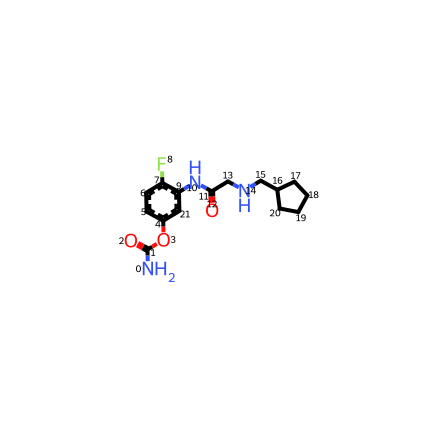 NC(=O)Oc1ccc(F)c(NC(=O)CNCC2CCCC2)c1